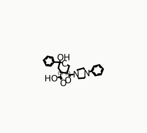 O=C(O)[C@H]1CC(O)(c2ccccc2)CC[C@@H]1C(=O)N1CCN(c2ccccc2)CC1